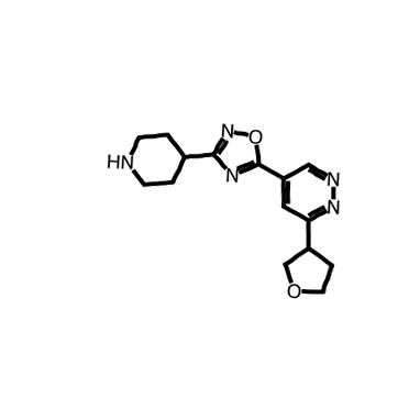 c1nnc(C2CCOC2)cc1-c1nc(C2CCNCC2)no1